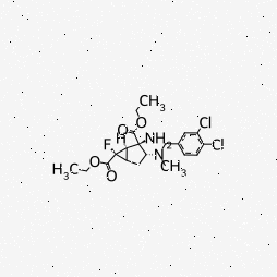 CCOC(=O)[C@@]1(N)[C@H]2C(C[C@H]1N(C)Cc1ccc(Cl)c(Cl)c1)[C@]2(F)C(=O)OCC